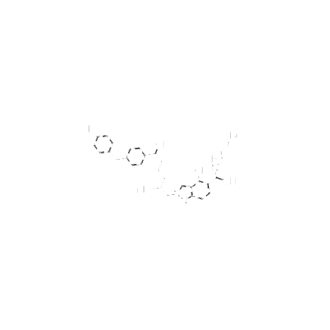 C=C(CCCC(CCC)Cn1cc2c(C)c(C(=C)NCCCC(C)(C)C)ccc2n1)c1ccc(Cc2ccc(F)cc2)cc1